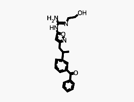 CC(Cc1cc(NC(N)=NCCO)on1)c1cccc(C(=O)c2ccccc2)c1